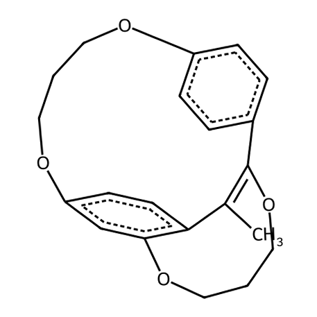 CC1=C2OCCCOc3cc(ccc31)OCCCOc1ccc2cc1